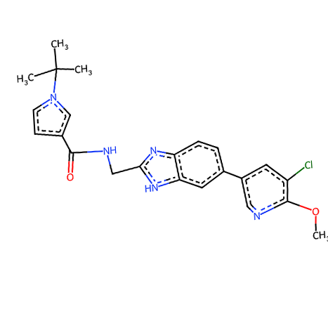 COc1ncc(-c2ccc3nc(CNC(=O)c4ccn(C(C)(C)C)c4)[nH]c3c2)cc1Cl